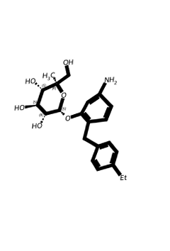 CCc1ccc(Cc2ccc(N)cc2O[C@H]2O[C@](C)(CO)[C@@H](O)[C@H](O)[C@H]2O)cc1